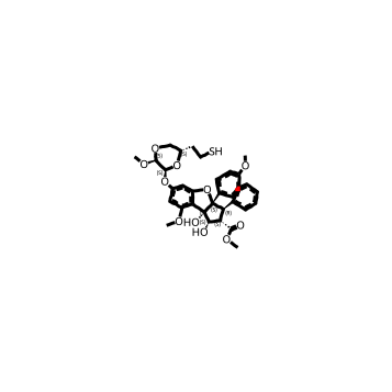 COC(=O)[C@H]1[C@H](c2ccccc2)[C@@]2(c3ccc(OC)cc3)Oc3cc(O[C@@H]4O[C@@H](CCS)CO[C@@H]4OC)cc(OC)c3[C@]2(O)[C@H]1O